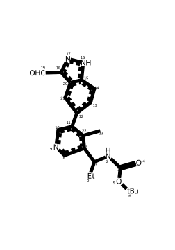 CCC(NC(=O)OC(C)(C)C)c1cncc(-c2ccc3[nH]nc(C=O)c3c2)c1C